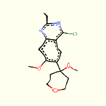 COc1cc2nc(C)nc(Cl)c2cc1C1(OC)CCOCC1